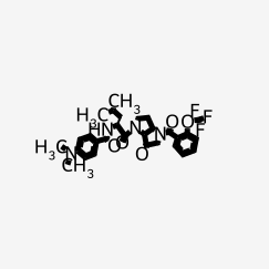 CC(C)C[C@H](NC(=O)c1ccc(N(C)C)cc1)C(=O)N1CCC2C1C(=O)CN2C(=O)c1ccccc1OC(F)(F)F